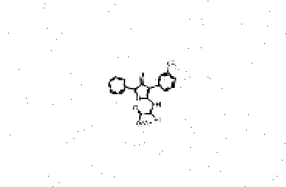 CCC(NC1=C(c2cccc(C(F)(F)F)c2)C(=O)C(c2ccccc2)O1)C(=O)OC